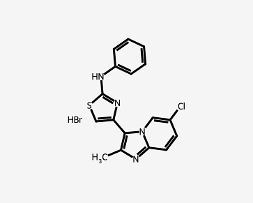 Br.Cc1nc2ccc(Cl)cn2c1-c1csc(Nc2ccccc2)n1